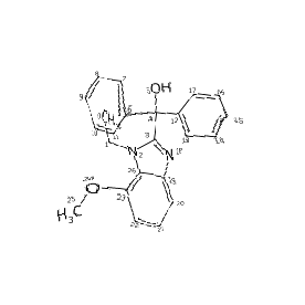 CCn1c(C(O)(c2ccccc2)c2ccccc2)nc2cccc(OC)c21